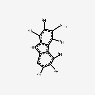 [2H]c1cc2[nH]c3c([2H])c([2H])c(N)c([2H])c3c2c([2H])c1[2H]